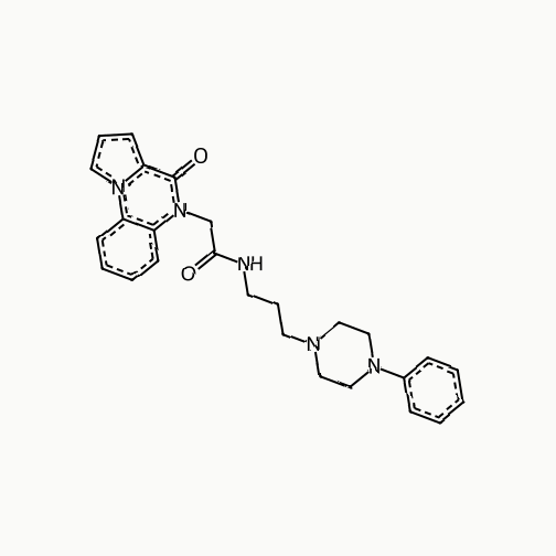 O=C(Cn1c(=O)c2cccn2c2ccccc21)NCCCN1CCN(c2ccccc2)CC1